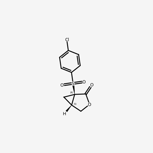 O=C1OC[C@@H]2C[C@]12S(=O)(=O)c1ccc(Cl)cc1